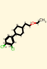 CCOCCC1CCC(c2ccc(Cl)c(Cl)c2)CC1